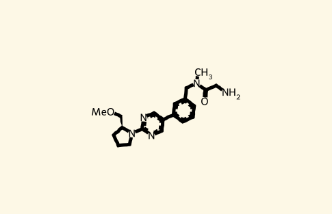 COC[C@@H]1CCCN1c1ncc(-c2cccc(CN(C)C(=O)CN)c2)cn1